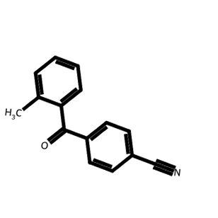 Cc1ccccc1C(=O)c1ccc(C#N)cc1